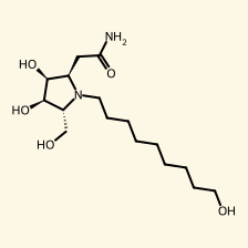 NC(=O)C[C@@H]1[C@H](O)[C@H](O)[C@@H](CO)N1CCCCCCCCCO